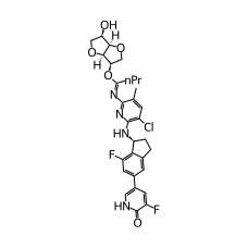 CCC/C(=N\c1nc(N[C@H]2CCc3cc(-c4c[nH]c(=O)c(F)c4)cc(F)c32)c(Cl)cc1C)O[C@@H]1CO[C@H]2[C@@H]1OC[C@H]2O